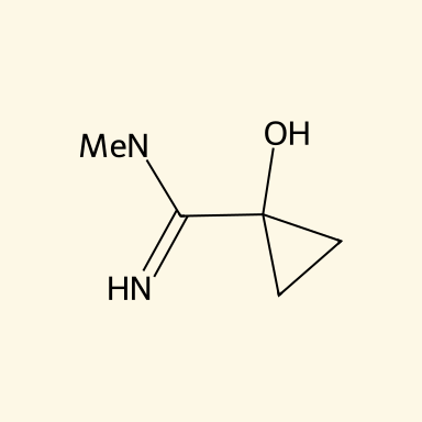 CNC(=N)C1(O)CC1